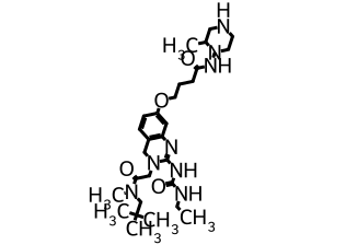 CCNC(=O)NC1=Nc2cc(OCCCC(=O)NN3CCNCC3C)ccc2CN1CC(=O)N(C)CC(C)(C)C